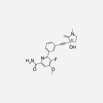 C=C1N(C)CC[C@@]1(O)C#Cc1cccc(-c2nc(C(N)=O)cc(OC)c2F)c1